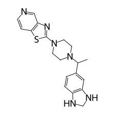 CC(c1ccc2c(c1)NCN2)N1CCN(c2nc3cnccc3s2)CC1